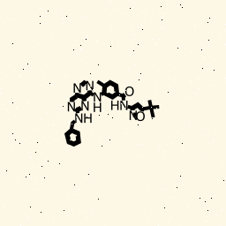 Cc1ccc(C(=O)Nc2cc(C(C)(C)C)on2)cc1Nc1ncnc2cnc(NCc3ccccc3)nc12